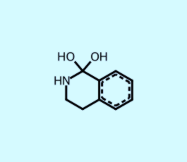 OC1(O)NCCc2ccccc21